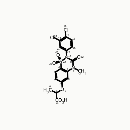 C[C@@H](Oc1ccc2c(c1)N(C)C(=O)N(c1ccc(Cl)c(Cl)c1)S2(=O)=O)C(=O)O